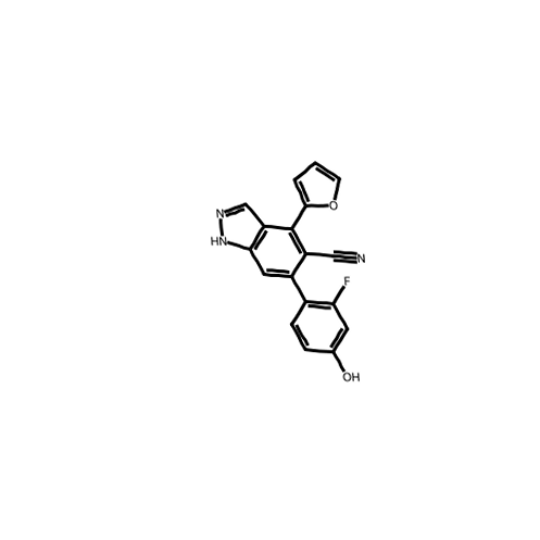 N#Cc1c(-c2ccc(O)cc2F)cc2[nH]ncc2c1-c1ccco1